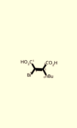 CCCCC(C(=O)O)=C(Br)C(=O)O